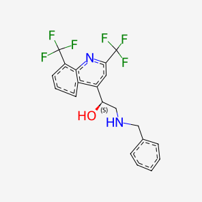 O[C@H](CNCc1ccccc1)c1cc(C(F)(F)F)nc2c(C(F)(F)F)cccc12